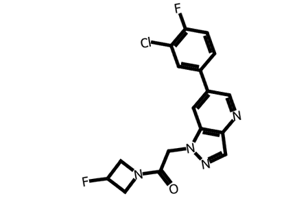 O=C(Cn1ncc2ncc(-c3ccc(F)c(Cl)c3)cc21)N1CC(F)C1